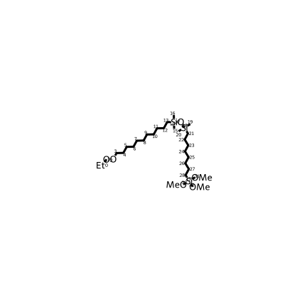 CCOOCCCCCCCCCCC[Si](C)(C)O[Si](C)(C)CCCCCCCC[Si](OC)(OC)OC